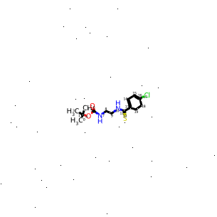 CC(C)(C)OC(=O)NCCNC(=S)C1=CC=C(Cl)CC1